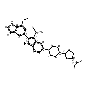 COc1cc(-c2[nH]c3ccc(C4CCC(N5CC[C@H](N(C)C)C5)CC4)cc3c2C(C)C)cn2ncnc12